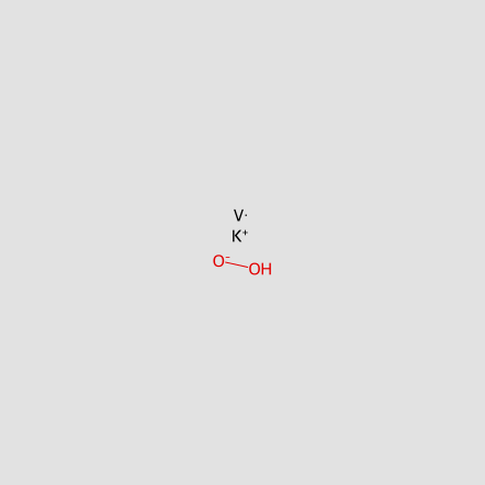 [K+].[O-]O.[V]